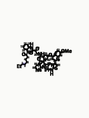 CC/C=C/CCCC(=O)Nc1ccccc1NC(=O)C(=O)CNC(=O)[C@@H]1C[C@H](Oc2cc(-c3csc(NC(C)C)n3)nc3cc(OC)ccc23)CN1C(=O)C(Nc1ncccn1)C(C)C